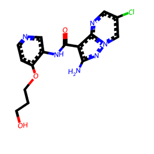 Nc1nn2cc(Cl)cnc2c1C(=O)Nc1cnccc1OCCCO